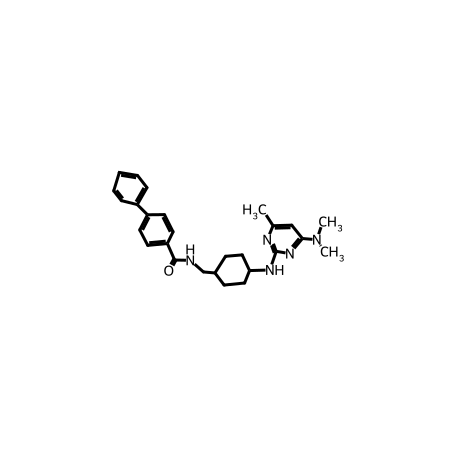 Cc1cc(N(C)C)nc(NC2CCC(CNC(=O)c3ccc(-c4ccccc4)cc3)CC2)n1